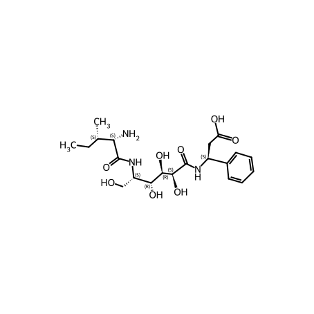 CC[C@H](C)[C@H](N)C(=O)N[C@@H](CO)[C@@H](O)[C@@H](O)[C@H](O)C(=O)N[C@@H](CC(=O)O)c1ccccc1